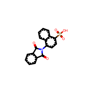 O=C1c2ccccc2C(=O)N1c1ccc(S(=O)(=O)O)c2ccccc12